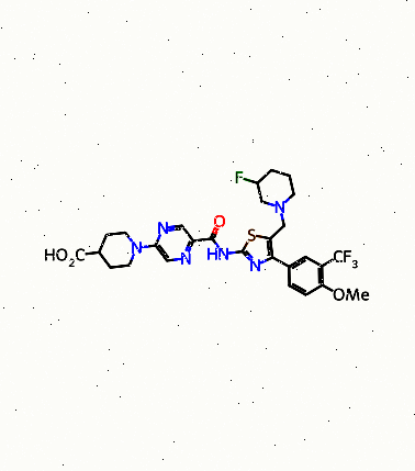 COc1ccc(-c2nc(NC(=O)c3cnc(N4CCC(C(=O)O)CC4)cn3)sc2CN2CCCC(F)C2)cc1C(F)(F)F